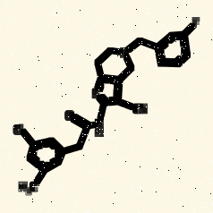 Cc1cc(Cl)cc(CC(=O)Nc2sc3c(c2C#N)CN(Cc2cccc(F)c2)CC3)c1